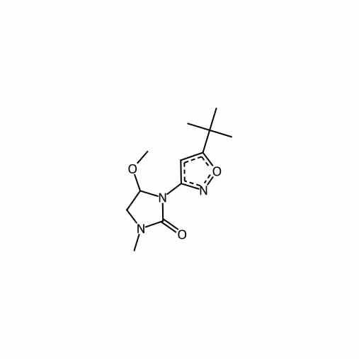 COC1CN(C)C(=O)N1c1cc(C(C)(C)C)on1